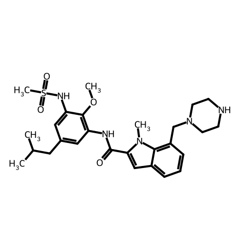 COc1c(NC(=O)c2cc3cccc(CN4CCNCC4)c3n2C)cc(CC(C)C)cc1NS(C)(=O)=O